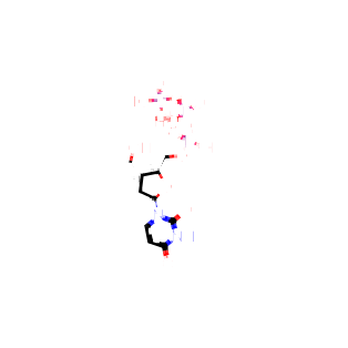 O=c1ccn([C@H]2C[C@H](CO)[C@@H](COP(=O)(O)OP(=O)(O)OP(=O)(O)O)O2)c(=O)[nH]1